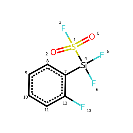 O=S(=O)(F)[Si](F)(F)c1ccccc1F